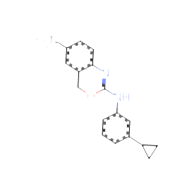 O=[N+]([O-])c1ccc2c(c1)COC(Nc1cccc(C3CC3)c1)=N2